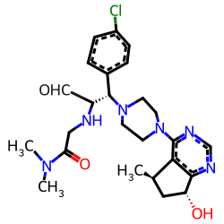 C[C@@H]1C[C@@H](O)c2ncnc(N3CCN([C@@H](c4ccc(Cl)cc4)C(C=O)NCC(=O)N(C)C)CC3)c21